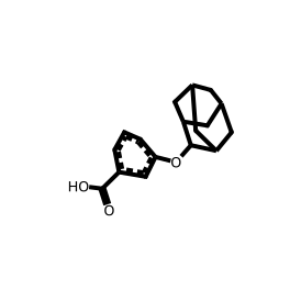 O=C(O)c1cccc(OC2C3CC4CC(C3)CC2C4)c1